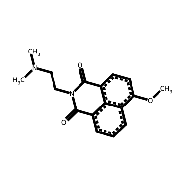 COc1ccc2c3c(cccc13)C(=O)N(CCN(C)C)C2=O